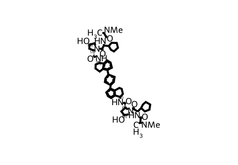 CNC(C)C(=O)NC(C(=O)N1C[C@@H](O)C[C@H]1C(=O)N[C@@H]1CCCc2c(-c3ccc(-c4cccc5c4CCC[C@H]5NC(=O)[C@@H]4C[C@H](O)CN4C(=O)C(NC(=O)C(C)NC)C4CCCCC4)cc3)cccc21)C1CCCCC1